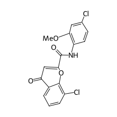 COc1cc(Cl)ccc1NC(=O)c1cc(=O)c2cccc(Cl)c2o1